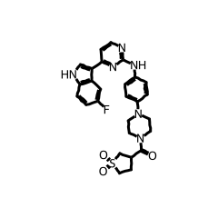 O=C(C1CCS(=O)(=O)C1)N1CCN(c2ccc(Nc3nccc(-c4c[nH]c5ccc(F)cc45)n3)cc2)CC1